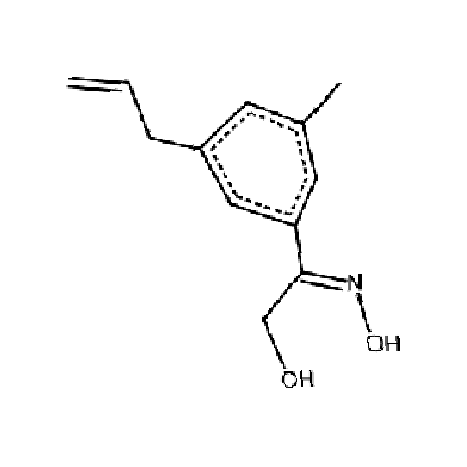 C=CCc1cc(C)cc(C(CO)=NO)c1